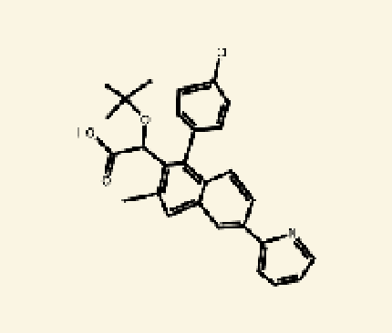 Cc1cc2cc(-c3ccccn3)ccc2c(-c2ccc(Cl)cc2)c1[C@H](OC(C)(C)C)C(=O)O